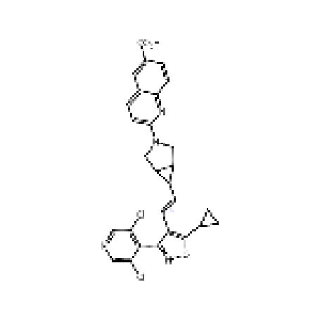 O=C(O)c1ccc2nc(N3CC4C(/C=C/c5c(-c6c(Cl)cncc6Cl)noc5C5CC5)C4C3)ccc2c1